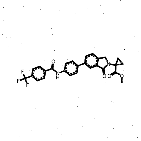 COC(=O)C1(N2Cc3ccc(-c4ccc(NC(=O)c5ccc(C(F)(F)F)cc5)cc4)cc3C2=O)CC1